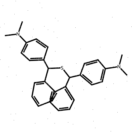 CN(C)c1ccc(C(SC(c2ccccc2)c2ccc(N(C)C)cc2)c2ccccc2)cc1